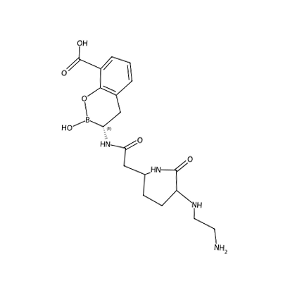 NCCNC1CCC(CC(=O)N[C@H]2Cc3cccc(C(=O)O)c3OB2O)NC1=O